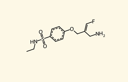 CCNS(=O)(=O)c1ccc(OCC(=CF)CN)cc1